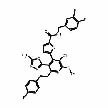 Cc1nnc(-c2c(CCc3ccc(F)cc3)nc(OC(C)C)c(C#N)c2-c2ccc(C(=O)NCc3ccc(F)c(F)c3)s2)o1